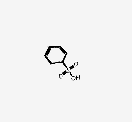 O=S(=O)(O)C1[C]C=[C]C=C1